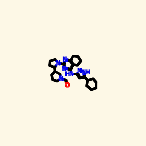 O=CN1CCCC(C2CCCN2c2nc3c(c(Nc4cc(C5CCCCC5)[nH]n4)n2)CCCC3)C1